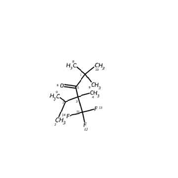 CC(C)C(C)(C(=O)C(C)(C)C)C(F)(F)F